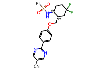 CCS(=O)(=O)N[C@H]1CCC(F)(F)C[C@H]1COc1ccc(-c2ncc(C#N)cn2)cc1